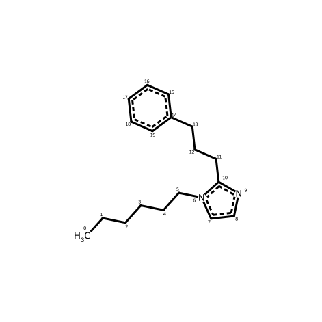 CCCCCCn1ccnc1CCCc1ccccc1